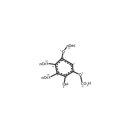 CCCCCCCCCCOc1cc(OC(=O)O)c(O)c(CCCCCCCC)c1CCCCCCCC